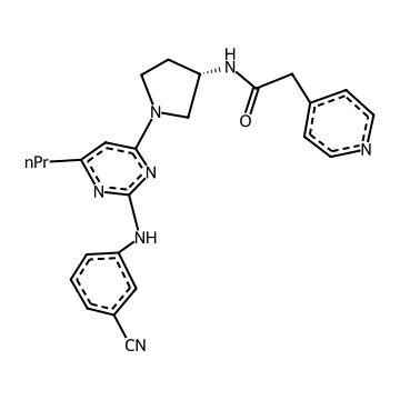 CCCc1cc(N2CC[C@H](NC(=O)Cc3ccncc3)C2)nc(Nc2cccc(C#N)c2)n1